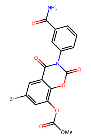 COC(=O)Oc1cc(Br)cc2c(=O)n(-c3cccc(C(N)=O)c3)c(=O)oc12